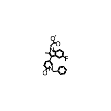 COC(=O)Cn1c(C)c(-c2ccc(=O)n(Cc3ccccc3)c2)c2cc(F)ccc21